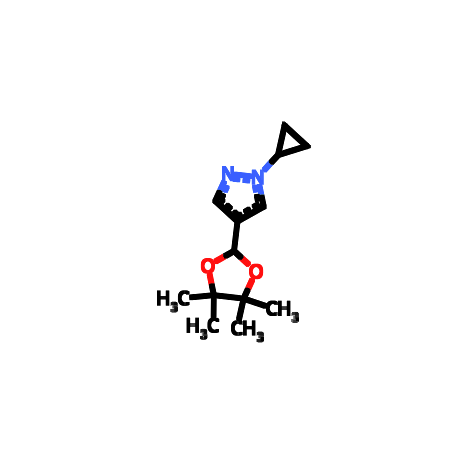 CC1(C)OC(c2cnn(C3CC3)c2)OC1(C)C